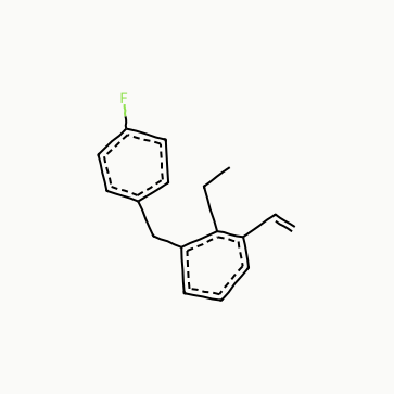 C=Cc1cccc(Cc2ccc(F)cc2)c1CC